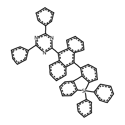 c1ccc(-c2nc(-c3ccccc3)nc(-c3c4ccccc4c(-c4cccc5c4-c4ccccc4[Si]5(c4ccccc4)c4ccccc4)c4ccccc34)n2)cc1